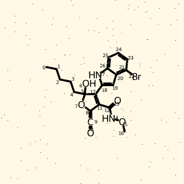 CCCCCC1(O)OC(=C=O)C(C(=O)NOC)=C1c1cc2c(Br)cccc2[nH]1